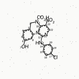 O=C(O)N(Cc1ccc(O)cc1)c1nc(Nc2ccc(Cl)cc2)ncc1[N+](=O)[O-]